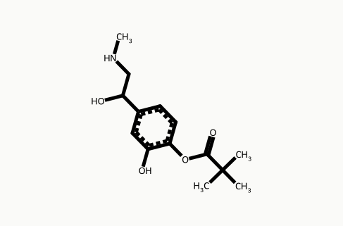 CNCC(O)c1ccc(OC(=O)C(C)(C)C)c(O)c1